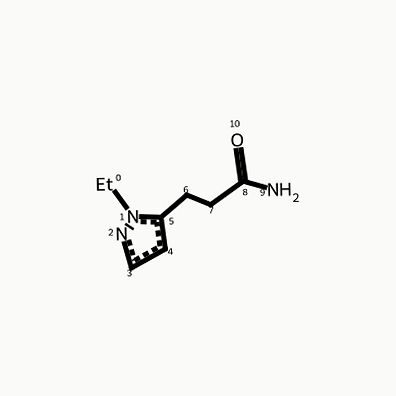 CCn1nccc1CCC(N)=O